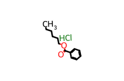 CCCCCCOC(=O)c1ccccc1.Cl